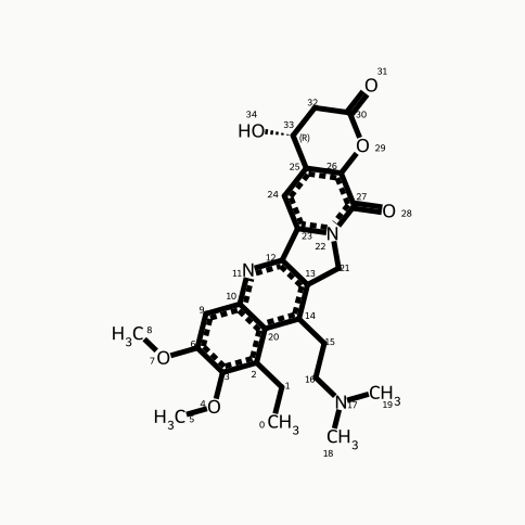 CCc1c(OC)c(OC)cc2nc3c(c(CCN(C)C)c12)Cn1c-3cc2c(c1=O)OC(=O)C[C@H]2O